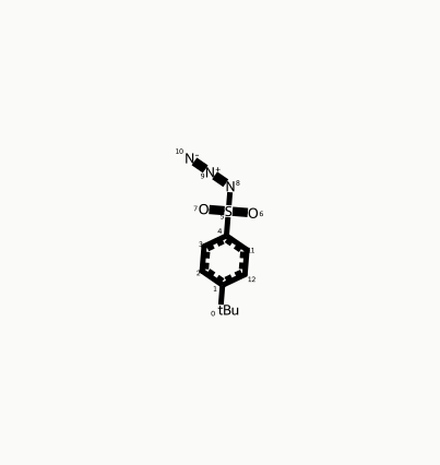 CC(C)(C)c1ccc(S(=O)(=O)N=[N+]=[N-])cc1